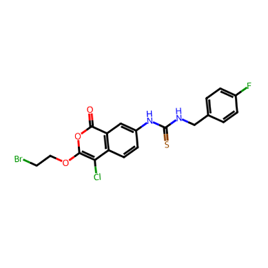 O=c1oc(OCCBr)c(Cl)c2ccc(NC(=S)NCc3ccc(F)cc3)cc12